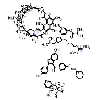 CN(C)C(=O)Oc1ccc[n+](C)c1.CN/C(=C/[N+](=O)[O-])NCCSCc1ccc(CN(C)C)o1.CO[C@H]1/C=C/O[C@@]2(C)Oc3c(C)c(O)c4c(O)c(c(/C=N/N5CCN(C)CC5)c(O)c4c3C2=O)NC(=O)/C(C)=C\C=C\[C@H](C)[C@H](O)[C@@H](C)[C@@H](O)[C@@H](C)[C@H](OC(C)=O)[C@@H]1C.Cl.Cl.O=C(c1ccc(OCCN2CCCCC2)cc1)c1c(-c2ccc(O)cc2)sc2cc(O)ccc12.O=P([O-])(O)C(O)(Cc1cccnc1)P(=O)(O)O.[Br-].[Na+]